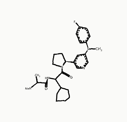 CNC(C)C(=O)NC(C(=O)N1CCC[C@H]1c1cncc(N(C)c2ccc(F)cc2)c1)C1CCCCC1